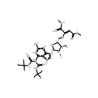 COC(=O)/C=C(\OC[C@H]1O[C@@H](n2cnc3c(N(C(=O)OC(C)(C)C)C(=O)OC(C)(C)C)nc(Cl)nc32)[C@@H](F)[C@@H]1C)C(=O)OC